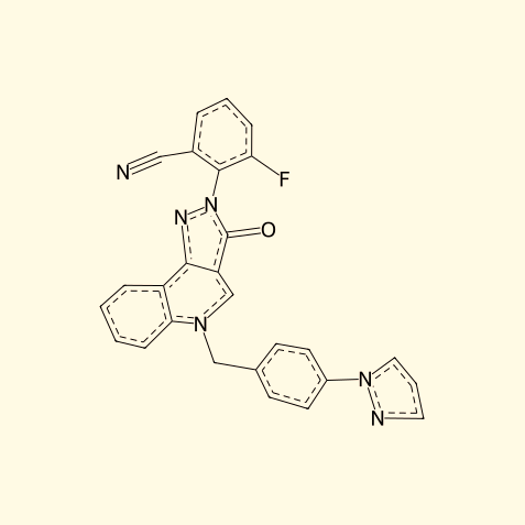 N#Cc1cccc(F)c1-n1nc2c3ccccc3n(Cc3ccc(-n4cccn4)cc3)cc-2c1=O